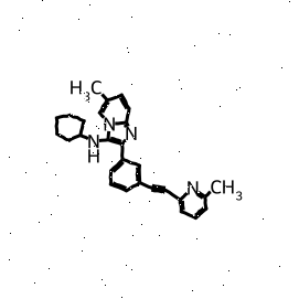 Cc1ccc2nc(-c3cccc(C#Cc4cccc(C)n4)c3)c(NC3CCCCC3)n2c1